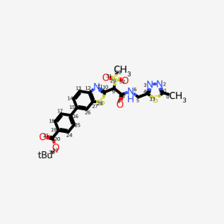 Cc1nnc(CNC(=O)C(c2nc3ccc(-c4ccc(C(=O)OC(C)(C)C)cc4)cc3s2)S(C)(=O)=O)s1